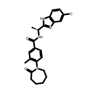 Cc1cc(C(=O)N[C@@H](C)c2nc3cc(Cl)ccc3[nH]2)ccc1N1CCCCCC1=O